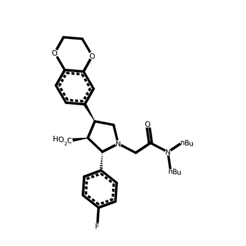 CCCCN(CCCC)C(=O)CN1C[C@H](c2ccc3c(c2)OCCO3)[C@H](C(=O)O)[C@H]1c1ccc(F)cc1